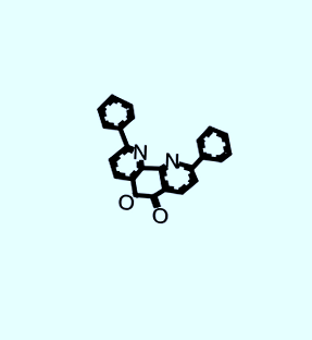 O=C1C(=O)c2ccc(-c3ccccc3)nc2-c2nc(-c3ccccc3)ccc21